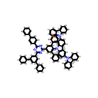 c1ccc(-c2ccc(-c3nc(-c4cc(-c5ccccc5)cc(-c5ccccc5)c4)nc(-c4cc(-c5ccccc5)c(-n5c6ccc(-n7c8ccccc8c8ccccc87)cc6c6ccc(-n7c8ccccc8c8ccccc87)cc65)c(-c5ccccc5)c4)n3)cc2)cc1